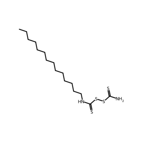 CCCCCCCCCCCCCCNC(=S)SSC(N)=S